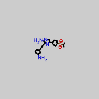 CC(C)S(=O)(=O)c1ccc(-c2cnc(N)c(C#Cc3cccc(N)c3)n2)cc1